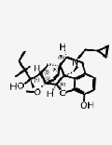 CCC(C)(C)[C@@](C)(O)[C@H]1C[C@@]23C=C[C@@]1(OC)[C@@H]1Oc4c(O)ccc5c4[C@@]12CCN(CC1CC1)[C@@H]3C5